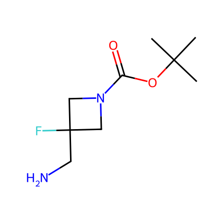 CC(C)(C)OC(=O)N1CC(F)(CN)C1